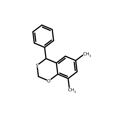 Cc1cc(C)c2c(c1)C(c1ccccc1)SCO2